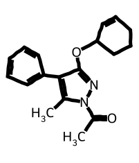 CC(=O)n1nc(OC2C=CCCC2)c(-c2ccccc2)c1C